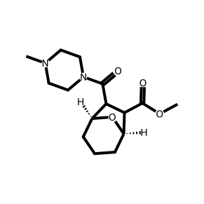 COC(=O)C1C(C(=O)N2CCN(C)CC2)[C@@H]2CCC[C@H]1O2